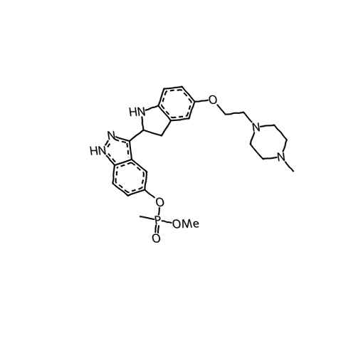 COP(C)(=O)Oc1ccc2[nH]nc(C3Cc4cc(OCCN5CCN(C)CC5)ccc4N3)c2c1